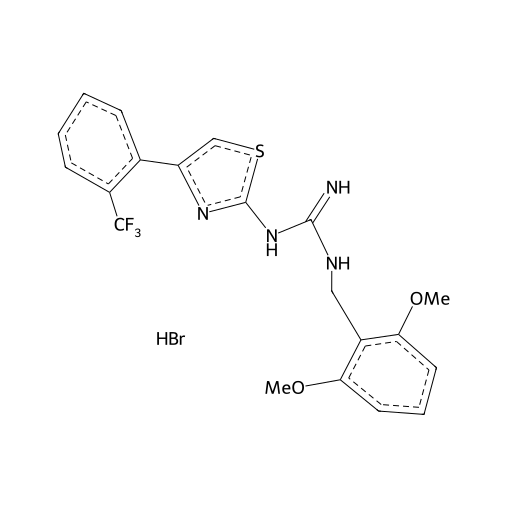 Br.COc1cccc(OC)c1CNC(=N)Nc1nc(-c2ccccc2C(F)(F)F)cs1